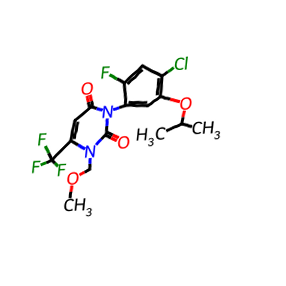 COCn1c(C(F)(F)F)cc(=O)n(-c2cc(OC(C)C)c(Cl)cc2F)c1=O